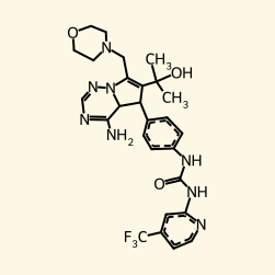 CC(C)(O)C1=C(CN2CCOCC2)N2N=CN=C(N)C2C1c1ccc(NC(=O)Nc2cc(C(F)(F)F)ccn2)cc1